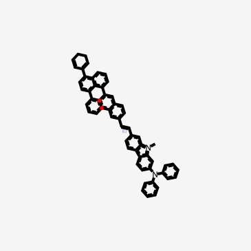 Cn1c2cc(/C=C/c3ccc4cc(-c5cccc6c(C7=CCCC=C7)ccc(-c7ccccc7)c56)ccc4c3)ccc2c2ccc(N(c3ccccc3)c3ccccc3)cc21